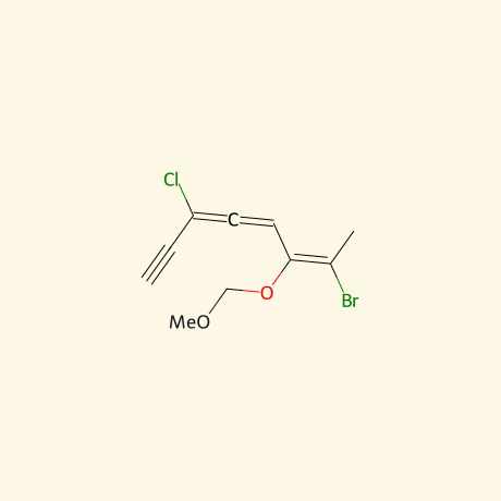 C#CC(Cl)=C=C/C(OCOC)=C(\C)Br